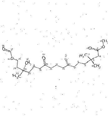 COC(=O)CC(C)(C)CCCC(=O)CCCC(=O)CCCC(C)(C)CCOC=O